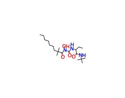 CCCCCCCC(C)(C)C(=O)N(O)C(=O)NC(CC)C(=O)NC(C)(C)C